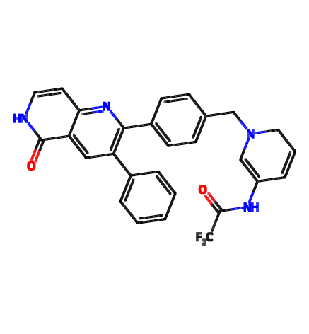 O=C(NC1=CN(Cc2ccc(-c3nc4cc[nH]c(=O)c4cc3-c3ccccc3)cc2)CC=C1)C(F)(F)F